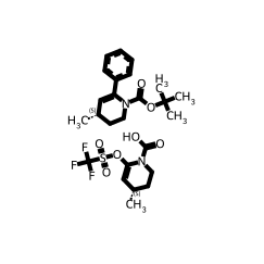 C[C@@H]1C=C(OS(=O)(=O)C(F)(F)F)N(C(=O)O)CC1.C[C@@H]1C=C(c2ccccc2)N(C(=O)OC(C)(C)C)CC1